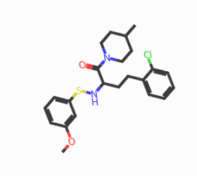 COc1cccc(SNC(CCc2ccccc2Cl)C(=O)N2CCC(C)CC2)c1